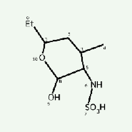 CCC1CC(C)C(NS(=O)(=O)O)C(O)O1